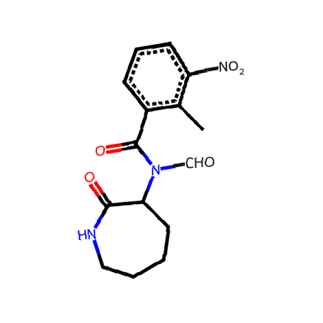 Cc1c(C(=O)N(C=O)C2CCCCNC2=O)cccc1[N+](=O)[O-]